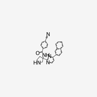 N#Cc1ccc(C(=O)N[C@]2(c3nccc(-c4ccc5ccccc5c4)n3)CCNC2)cc1